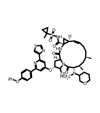 CC(C)Oc1ccc(-c2cc(O[C@@H]3C[C@H]4C(=O)N[C@]5(C(=O)NS(=O)(=O)C6(C)CC6)C[C@H]5/C=C\CC[C@@H](C)C[C@@H](C)[C@H](N(C(=O)O)C5CCCOC5)C(=O)N4C3C(F)(F)F)cc(-c3cscn3)n2)cc1